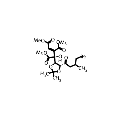 COC(=O)/C=C(\C(=O)OC)[C@@](O)(C(=O)OC)[C@@H]1OC(C)(C)O[C@H]1C(=O)CC(C)CC(C)C